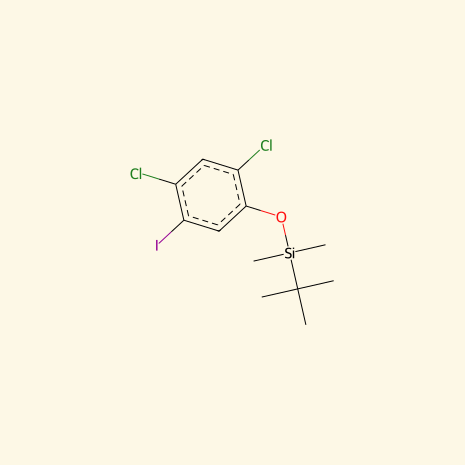 CC(C)(C)[Si](C)(C)Oc1cc(I)c(Cl)cc1Cl